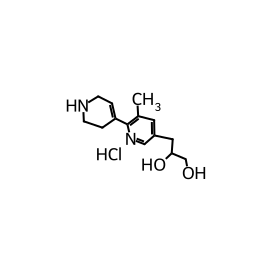 Cc1cc(CC(O)CO)cnc1C1=CCNCC1.Cl